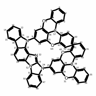 c1ccc2c(c1)Oc1cc(-n3c4ccccc4c4ccc5c(nc6n(-c7cc8c9c(c7)Oc7ccccc7B9c7ccccc7O8)c7ccccc7n56)c43)cc3c1B2c1ccccc1O3